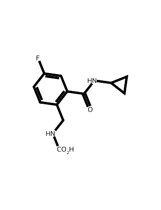 O=C(O)NCc1ccc(F)cc1C(=O)NC1CC1